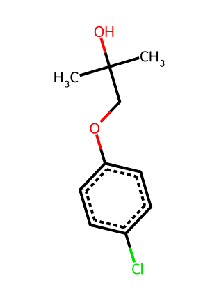 CC(C)(O)COc1ccc(Cl)cc1